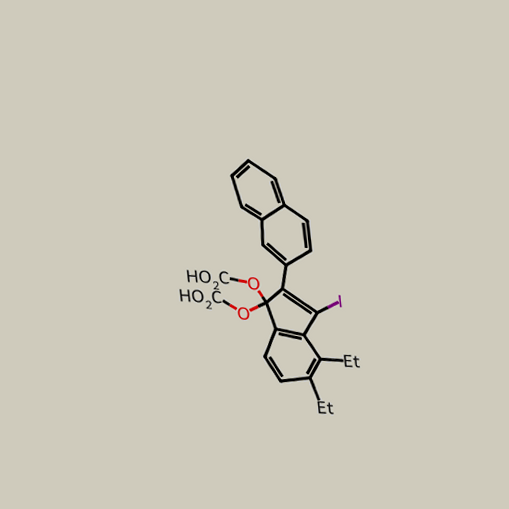 CCc1ccc2c(c1CC)C(I)=C(c1ccc3ccccc3c1)C2(OC(=O)O)OC(=O)O